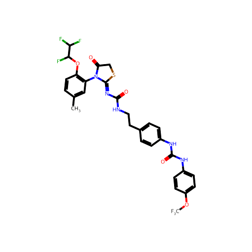 Cc1ccc(OC(F)C(F)F)c(N2C(=O)CSC2=NC(=O)NCCc2ccc(NC(=O)Nc3ccc(OC(F)(F)F)cc3)cc2)c1